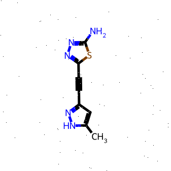 Cc1cc(C#Cc2nnc(N)s2)n[nH]1